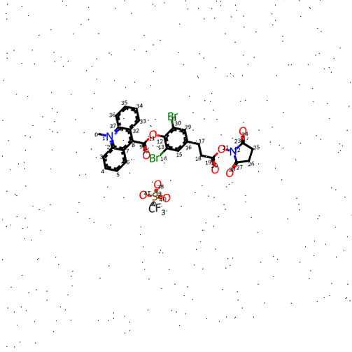 C[n+]1c2ccccc2c(C(=O)Oc2c(Br)cc(CCC(=O)ON3C(=O)CCC3=O)cc2Br)c2ccccc21.O=S(=O)([O-])C(F)(F)F